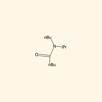 [CH2]CCCC(=O)N(CCCC)C(C)C